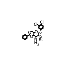 CCOC1C(Sc2ccc(Cl)c(Cl)c2)OC2COC(c3ccccc3)OC2C1N